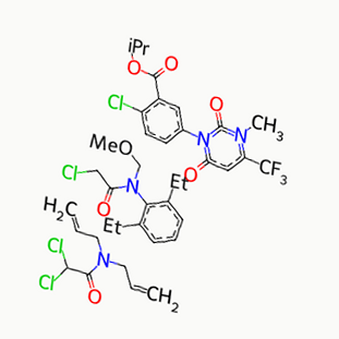 C=CCN(CC=C)C(=O)C(Cl)Cl.CC(C)OC(=O)c1cc(-n2c(=O)cc(C(F)(F)F)n(C)c2=O)ccc1Cl.CCc1cccc(CC)c1N(COC)C(=O)CCl